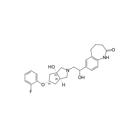 O=C1CCCc2cc(C(O)CN3C[C@H]4C[C@H](Oc5ccccc5F)C[C@@]4(O)C3)ccc2N1